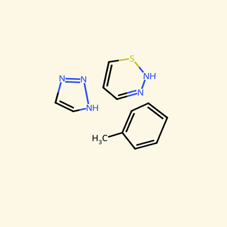 C1=CSNN=C1.Cc1ccccc1.c1c[nH]nn1